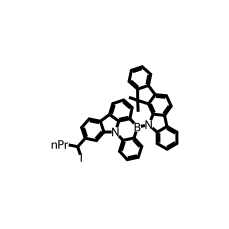 CCCC(I)c1ccc2c3cccc4c3n(c2c1)-c1ccccc1B4n1c2ccccc2c2ccc3c(c21)C(C)(C)c1ccccc1-3